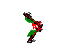 Cl.Cl.Cl.Cl.Cl.Cl.Cl.Cl.Cl.Cl.Cl.Cl.Cl.Cl.Cl.Cl.Cl.Cl.Cl.Cl.Cl.Cl.Cl.Cl.Cl.Cl.Cl.Cl.Cl.Cl.Cl.Cl.O.O.O.O.O.O.O.O.[Ca+2].[Ca+2].[Ca+2].[Ca+2].[Ca+2].[Ca+2].[Ca+2].[K+].[K+].[K+].[K+].[K+].[K+].[K+].[K+].[K+].[K+].[K+].[K+].[K+].[K+].[K+].[K+].[K+].[K+].[K+].[K+].[K+].[K+].[K+].[K+].[K+].[K+].[K+].[K+].[Li+].[Li+].[Li+].[Li+].[Li+].[Li+].[Li+].[Na+].[Na+].[Na+].[Na+].[Na+].[Na+].[Na+].[O-2].[O-2].[O-2].[O-2].[O-2].[O-2].[O-2].[O-2]